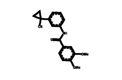 COc1ccc(C(=O)Nc2cccc(C3(C#N)CC3)c2)cc1OC